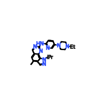 CCN1CCN(c2ccc(Nc3ncc4cc(C)c5cnn(C(C)C)c5c4n3)nc2)CC1